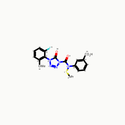 CCCSN(C(=O)n1nnn(-c2c(F)cccc2OC)c1=O)c1cccc(C(=O)O)c1